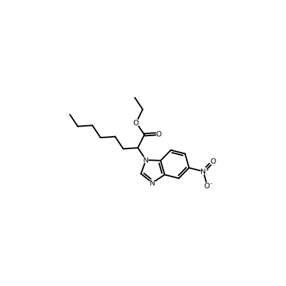 CCCCCCC(C(=O)OCC)n1cnc2cc([N+](=O)[O-])ccc21